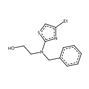 CCc1csc(N(CCO)Cc2ccccc2)n1